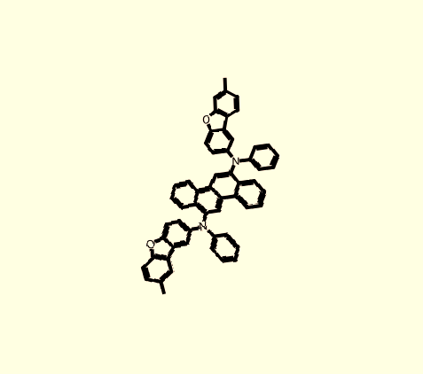 Cc1ccc2c(c1)oc1ccc(N(c3ccccc3)c3cc4c5ccccc5c(N(c5ccccc5)c5ccc6oc7ccc(C)cc7c6c5)cc4c4ccccc34)cc12